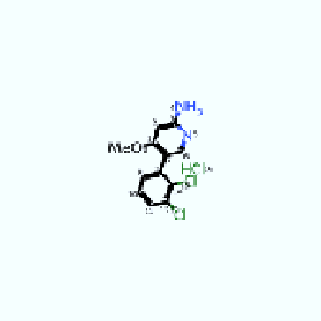 COc1cc(N)ncc1-c1cccc(Cl)c1Cl.Cl